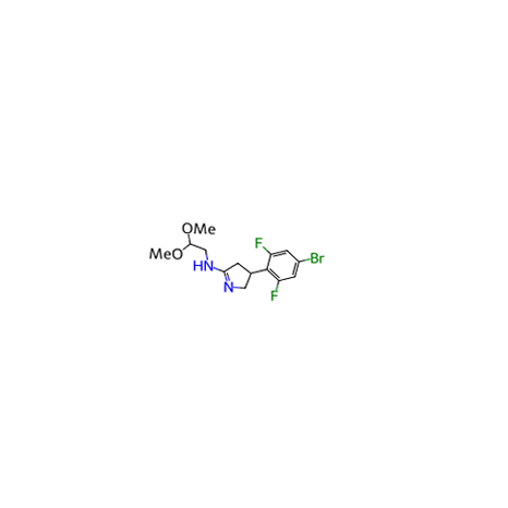 COC(CNC1=NCC(c2c(F)cc(Br)cc2F)C1)OC